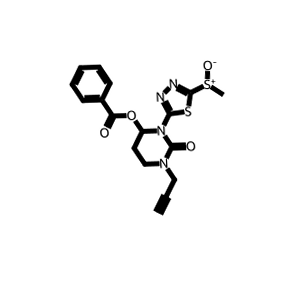 C#CCN1CCC(OC(=O)c2ccccc2)N(c2nnc([S+](C)[O-])s2)C1=O